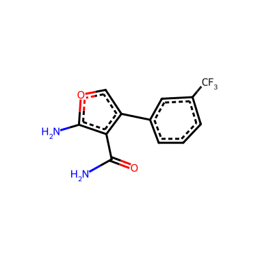 NC(=O)c1c(-c2cccc(C(F)(F)F)c2)coc1N